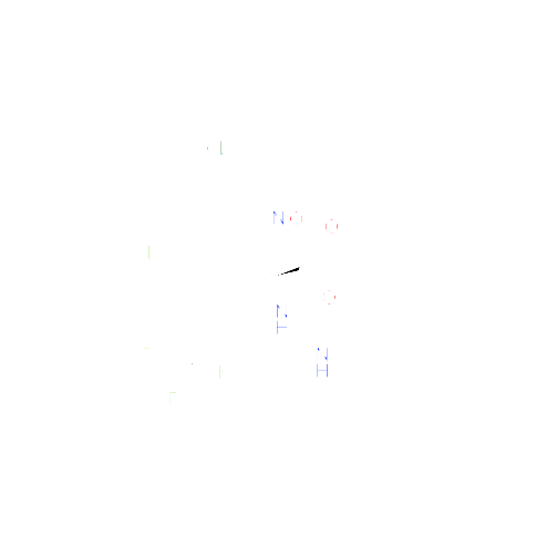 COC(=O)C[C@@](NC(=O)NC1CCCC1)(c1cc(F)cc(C(F)(F)F)c1)c1ccc(Cl)cn1